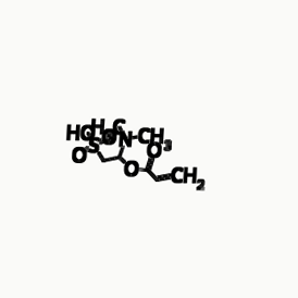 C=CC(=O)OC(CS(=O)(=O)O)N(C)C